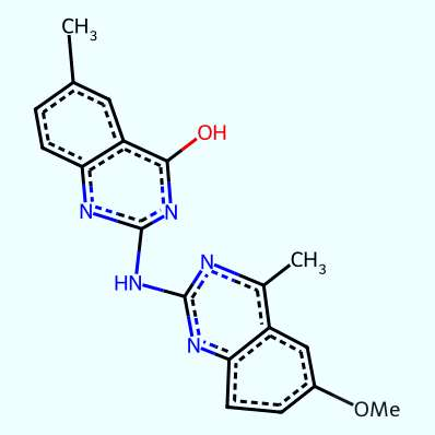 COc1ccc2nc(Nc3nc(O)c4cc(C)ccc4n3)nc(C)c2c1